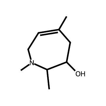 CC1=CCN(C)C(C)C(O)C1